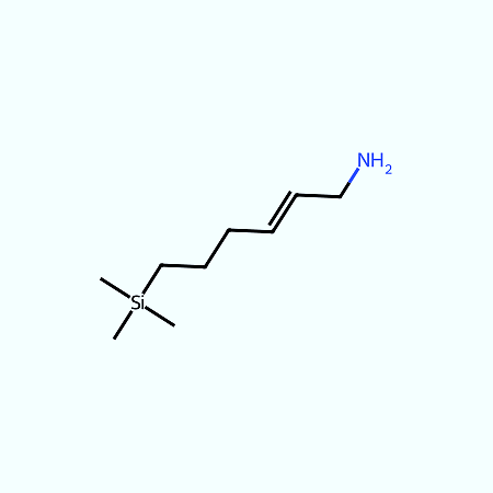 C[Si](C)(C)CCCC=CCN